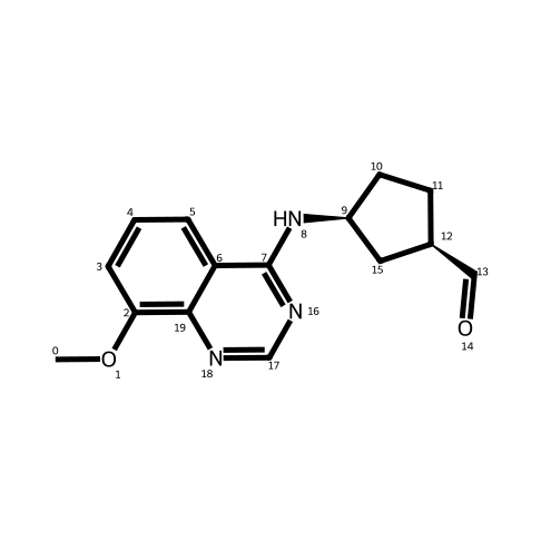 COc1cccc2c(N[C@H]3CC[C@@H](C=O)C3)ncnc12